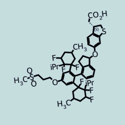 CC1CC(F)C(F)(C(C)C)C(F)(c2cc(OCCCS(C)(=O)=O)cc(C3(F)CC(C)CC(F)C3(F)C(C)C)c2-c2cccc3c2CCC3Oc2ccc3c(c2)SC[C@H]3CC(=O)O)C1